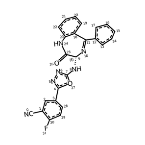 N#Cc1cc(-c2nnc(N[C@H]3N=C(c4ccccc4)c4ccccc4NC3=O)o2)ccc1F